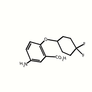 Nc1ccc(OC2CCC(F)(F)CC2)c(C(=O)O)c1